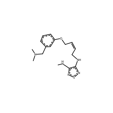 CNc1nsnc1NC/C=C\COc1cccc(CN(C)C)c1